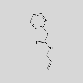 C=CCNC(=S)Cc1ccccn1